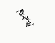 CC(C)(CCC(=S)CCC(=S)CCC(C)(C)CCc1cocc(O)c1=O)CCc1cocc(O)c1=O